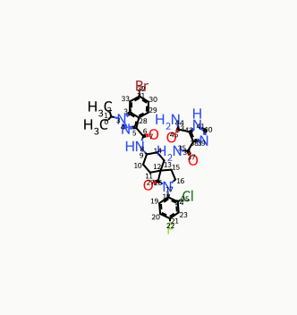 CC(C)n1nc(C(=O)NC2CCC3(CC2)CCN(c2ccc(F)cc2Cl)C3=O)c2ccc(Br)cc21.NC(=O)c1nc[nH]c1C(N)=O